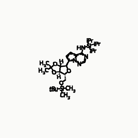 CC(C)[Si](Nc1ncnn2c(C3O[C@H](CO[Si](C)(C)C(C)(C)C)[C@H]4OC(C)(C)O[C@H]34)ccc12)(C(C)C)C(C)C